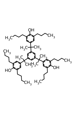 CCCCc1cc(C(C)(C)c2cc(C(C)(C)c3cc(CCCC)c(O)c(CCCC)c3)cc(C(C)(C)c3cc(CCCC)c(O)c(CCCC)c3)c2)cc(CCCC)c1O